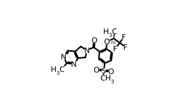 Cc1ncc2c(n1)CN(C(=O)c1cc(S(C)(=O)=O)ccc1O[C@@H](C)C(F)(F)F)C2